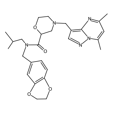 Cc1cc(C)n2ncc(CN3CCOC(C(=O)N(Cc4ccc5c(c4)OCCO5)CC(C)C)C3)c2n1